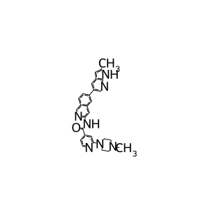 Cc1cc2cc(-c3ccc4cnc(NC(=O)c5ccnc(N6CCN(C)CC6)c5)cc4c3)cnc2[nH]1